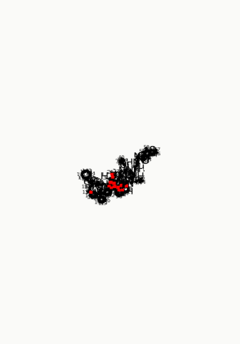 CC[C@H](C)[C@H](NC(=O)[C@@H]1C[C@@H]2CCCC[C@@H]2N1C(=O)[C@@H]1CCCN1C(=O)[C@H](CC(C)C)NC(=O)[C@H](COC(C)(C)C)NC(=O)[C@H](CCCNC(=N)NS(=O)(=O)c1c(C)c(C)c2c(c1C)CC(C)(C)O2)NC(=O)[C@H](COC(C)(C)C)NC(=O)OCC1c2ccccc2-c2ccccc21)C(=O)N[C@@H](CSC(c1ccccc1)(c1ccccc1)c1ccccc1)C(=O)N[C@H](C(=O)OC1CCCCCC1)[C@@H](C)CC